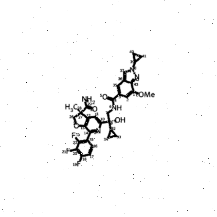 COc1cc(C(=O)NC[C@](O)(c2cc3c(c(-c4ccc(F)c(F)c4F)n2)OC[C@]3(C)C(N)=O)C2CC2)cc2cn(C3CC3)nc12